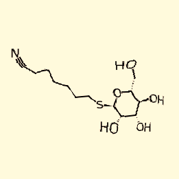 N#CCCCCCCS[C@H]1O[C@H](CO)[C@@H](O)[C@H](O)[C@@H]1O